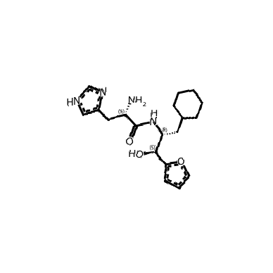 N[C@@H](Cc1c[nH]cn1)C(=O)N[C@H](CC1CCCCC1)[C@H](O)c1ccco1